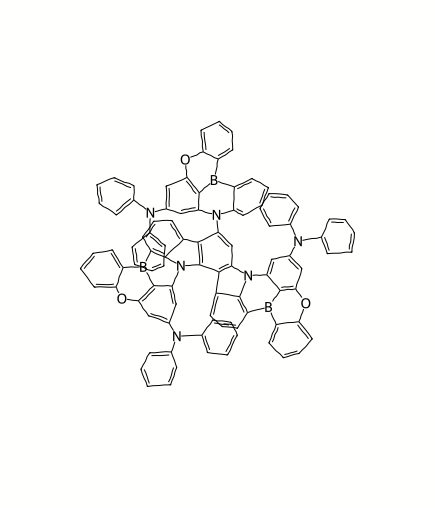 c1ccc(N(c2ccccc2)c2cc3c4c(c2)N(c2cc5c(c6cccc7c6n5-c5cc(N(c6ccccc6)c6ccccc6)cc6c5B7c5ccccc5O6)c5c2c2cccc6c2n5-c2cc(N(c5ccccc5)c5ccccc5)cc5c2B6c2ccccc2O5)c2ccccc2B4c2ccccc2O3)cc1